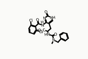 CN(Cc1ccccc1)C(=O)NC(Cc1c[nH]c(=O)nc1NC(=O)c1c(Cl)cccc1Cl)C(=O)O